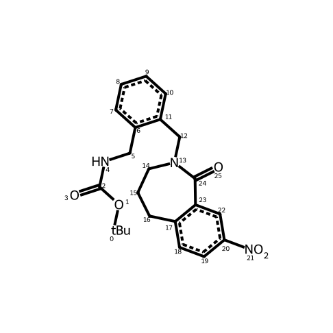 CC(C)(C)OC(=O)NCc1ccccc1CN1CCCc2ccc([N+](=O)[O-])cc2C1=O